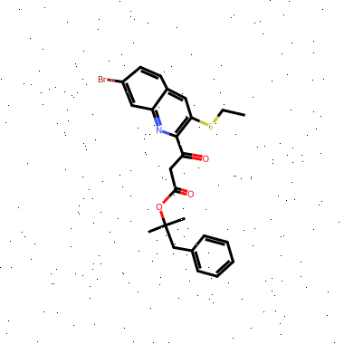 CCSc1cc2ccc(Br)cc2nc1C(=O)CC(=O)OC(C)(C)Cc1ccccc1